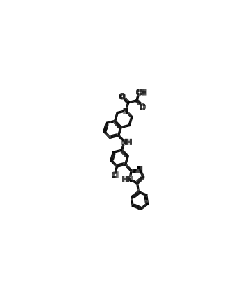 O=C(O)C(=O)N1CCc2c(cccc2Nc2ccc(Cl)c(-c3ncc(-c4ccccc4)[nH]3)c2)C1